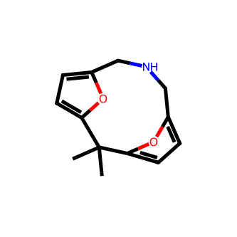 CC1(C)c2ccc(o2)CNCc2ccc1o2